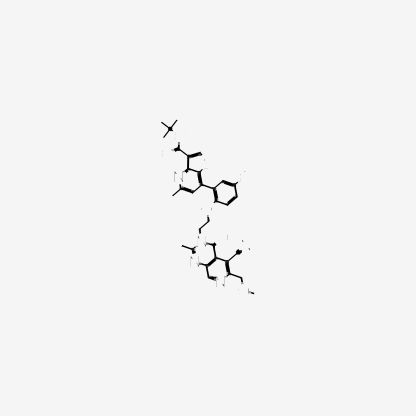 COCc1ncc2nc(C)n(CCOc3ccc(Cl)cc3-c3cc(C)nc4c(C(=O)OC(C)(C)C)csc34)c(=O)c2c1C#N